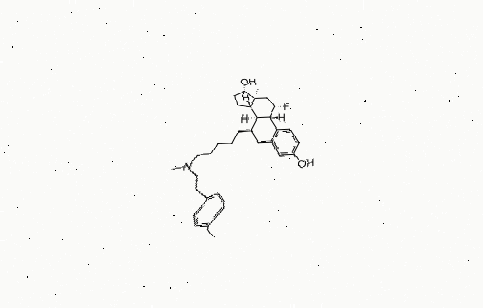 Cc1ccc(CCN(C)CCCCC[C@@H]2Cc3cc(O)ccc3[C@@H]3[C@@H]2[C@@H]2CC[C@H](O)[C@@]2(C)C[C@@H]3F)cc1